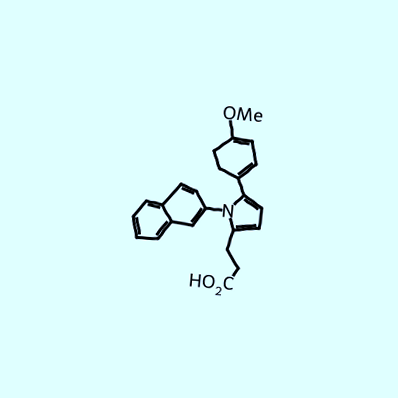 COC1=CC=C(c2ccc(CCC(=O)O)n2-c2ccc3ccccc3c2)CC1